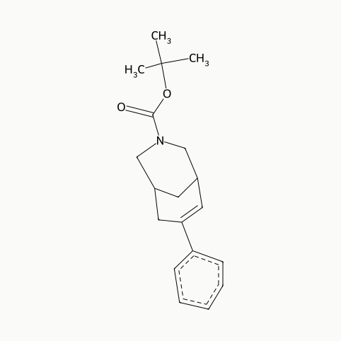 CC(C)(C)OC(=O)N1CC2C=C(c3ccccc3)CC(C2)C1